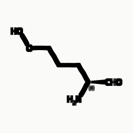 N[C@@H](C=O)CCCOO